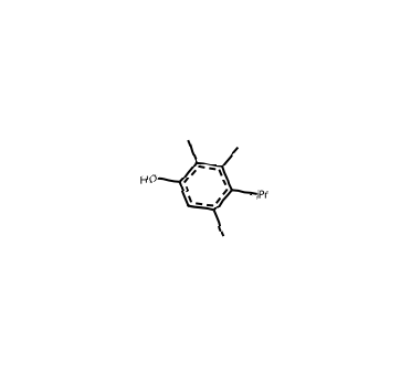 Cc1cc(O)c(C)c(C)c1C(C)C